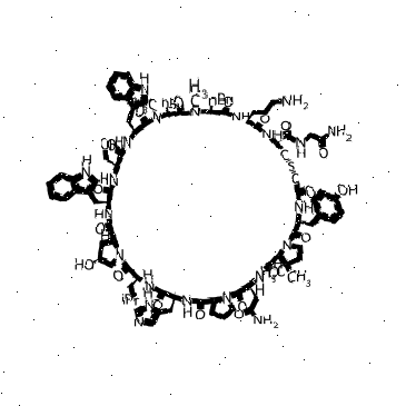 CCCC[C@H]1C(=O)N(C)[C@@H](CCCC)C(=O)N[C@@H](CCCN)C(=O)N[C@H](C(=O)NCC(N)=O)CSCC(=O)N[C@@H](Cc2ccc(O)cc2)C(=O)N2CCC(C)(C)[C@H]2C(=O)N[C@@H](CC(N)=O)C(=O)N2CCCC2C(=O)N[C@@H](Cc2cnc[nH]2)C(=O)N[C@@H](CC(C)C)C(=O)N2C[C@H](O)C[C@H]2C(=O)N[C@@H](Cc2c[nH]c3ccccc23)C(=O)N[C@@H](CO)C(=O)N[C@@H](Cc2c[nH]c3ccccc23)C(=O)N1C